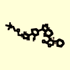 C[C@]1(c2ccccc2)COC(=O)N1c1ccn2ncc(-c3ccc(-c4ncn(COCC[Si](C)(C)C)n4)c(F)c3)c2n1